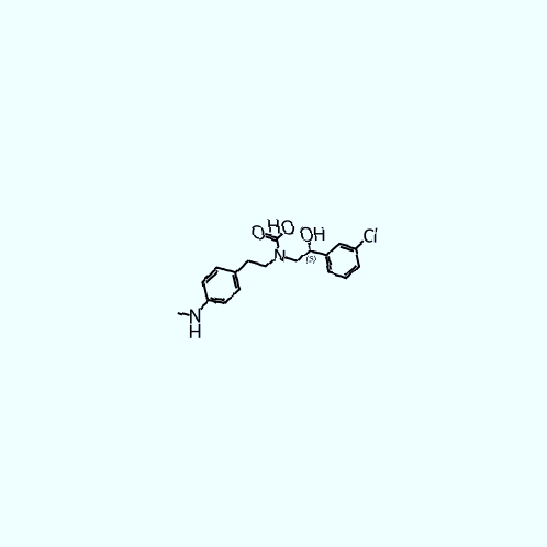 CNc1ccc(CCN(C[C@@H](O)c2cccc(Cl)c2)C(=O)O)cc1